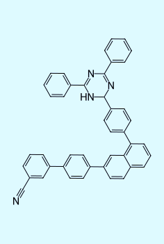 N#Cc1cccc(-c2ccc(-c3ccc4cccc(-c5ccc(C6N=C(c7ccccc7)N=C(c7ccccc7)N6)cc5)c4c3)cc2)c1